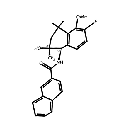 COc1c(F)ccc2c1C(C)(C)C[C@](O)(C(F)(F)F)[C@@H]2NC(=O)c1ccc2ccccc2c1